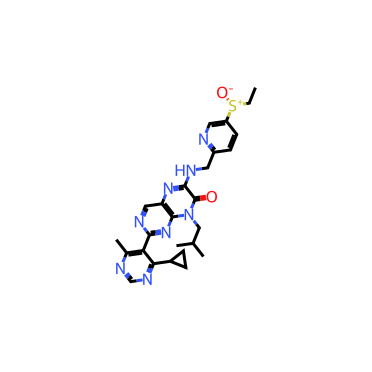 CC[S+]([O-])c1ccc(CNc2nc3cnc(-c4c(C)ncnc4C4CC4)nc3n(CC(C)C)c2=O)nc1